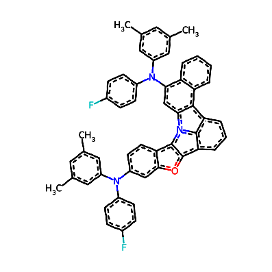 Cc1cc(C)cc(N(c2ccc(F)cc2)c2ccc3c(c2)oc2c4cccc5c6c7ccccc7c(N(c7ccc(F)cc7)c7cc(C)cc(C)c7)cc6n(c45)c32)c1